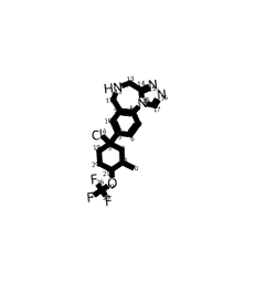 CC1CC(Cl)(c2ccc3c(c2)CNCc2nncn2-3)CCC1OC(F)(F)F